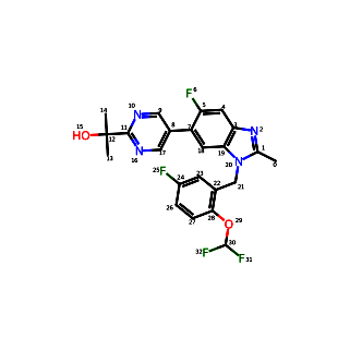 Cc1nc2cc(F)c(-c3cnc(C(C)(C)O)nc3)cc2n1Cc1cc(F)ccc1OC(F)F